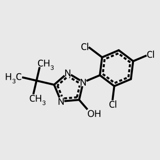 CC(C)(C)c1nc(O)n(-c2c(Cl)cc(Cl)cc2Cl)n1